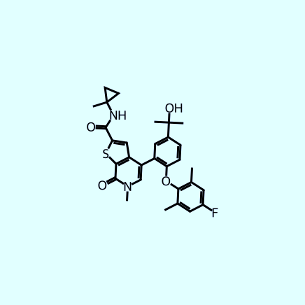 Cc1cc(F)cc(C)c1Oc1ccc(C(C)(C)O)cc1-c1cn(C)c(=O)c2sc(C(=O)NC3(C)CC3)cc12